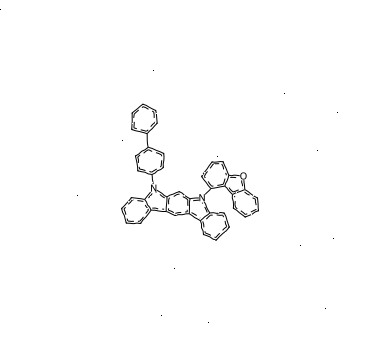 c1ccc(-c2ccc(-n3c4ccccc4c4cc5c6ccccc6n(-c6cccc7oc8ccccc8c67)c5cc43)cc2)cc1